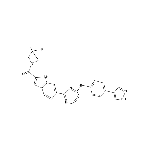 O=C(c1cc2ccc(-c3nccc(Nc4ccc(-c5cn[nH]c5)cc4)n3)cc2[nH]1)N1CC(F)(F)C1